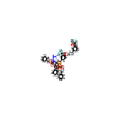 CCC(CCc1ccc(OCCCc2cccc(OC(F)(F)F)c2)c(C(F)(F)F)c1)(CO[PH](=O)C(Cc1ccccc1)c1ccccc1)NC(=O)OCc1ccccc1